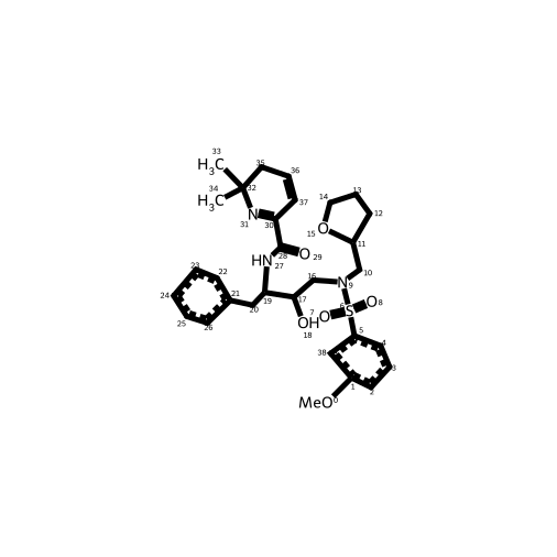 COc1cccc(S(=O)(=O)N(CC2CCCO2)CC(O)C(Cc2ccccc2)NC(=O)C2=NC(C)(C)CC=C2)c1